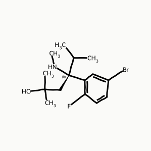 CN[C@@](CC(C)(C)O)(c1cc(Br)ccc1F)C(C)C